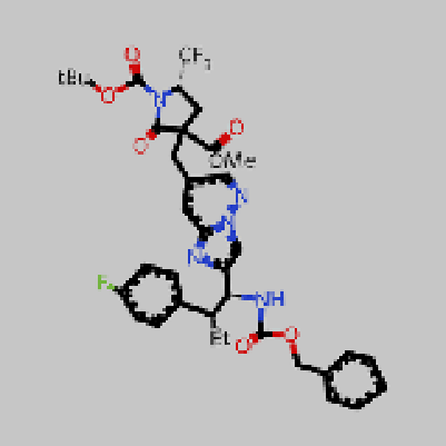 CC[C@@H](c1ccc(F)cc1)[C@H](NC(=O)OCc1ccccc1)c1cn2ncc(CC3(C(=O)OC)C[C@@H](C(F)(F)F)N(C(=O)OC(C)(C)C)C3=O)cc2n1